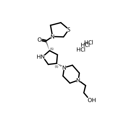 Cl.Cl.Cl.O=C([C@@H]1C[C@H](N2CCN(CCO)CC2)CN1)N1CCSC1